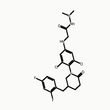 CN(C)NC(=O)CNc1cc(Cl)c(N2CC(Cc3ccc(F)cc3F)CCC2=O)c(Cl)c1